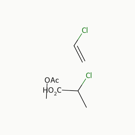 C=CCl.CC(Cl)C(=O)O.COC(C)=O